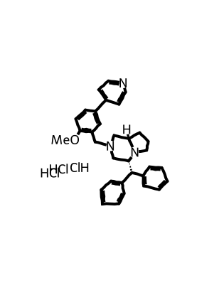 COc1ccc(-c2ccncc2)cc1CN1C[C@@H]2CCCN2[C@H](C(c2ccccc2)c2ccccc2)C1.Cl.Cl.Cl